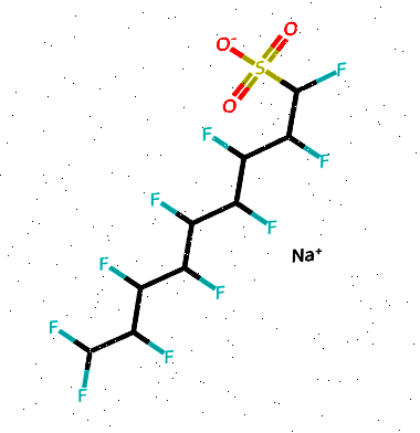 O=S(=O)([O-])C(F)C(F)C(F)C(F)C(F)C(F)C(F)C(F)C(F)F.[Na+]